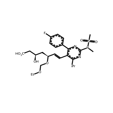 CCOCO[C@H](/C=C/c1c(-c2ccc(F)cc2)nc(N(C)S(C)(=O)=O)nc1C(C)C)C[C@@H](O)CC(=O)O